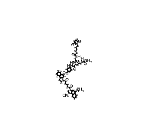 COc1cc2c(c3ccccc13)[C@H](CCl)CN2C(=O)CCCC(=O)N1CCc2c1cc(OCc1ccc(NC(=O)[C@H](CCCNC(N)=O)NC(=O)CNC(=O)CCCCCN3C(=O)C=CC3=O)cc1)c1ccccc21